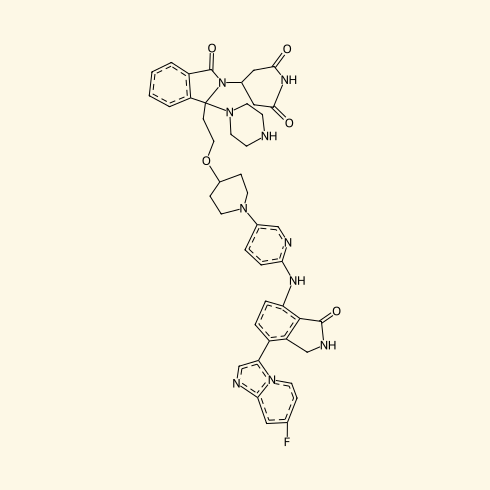 O=C1CC(N2C(=O)c3ccccc3C2(CCOC2CCN(c3ccc(Nc4ccc(-c5cnc6cc(F)ccn56)c5c4C(=O)NC5)nc3)CC2)N2CCNCC2)CC(=O)N1